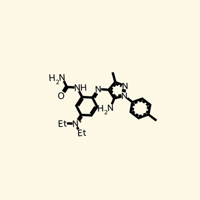 CC[N+](CC)=C1C=CC(=Nc2c(C)nn(-c3ccc(C)cc3)c2N)C(NC(N)=O)=C1